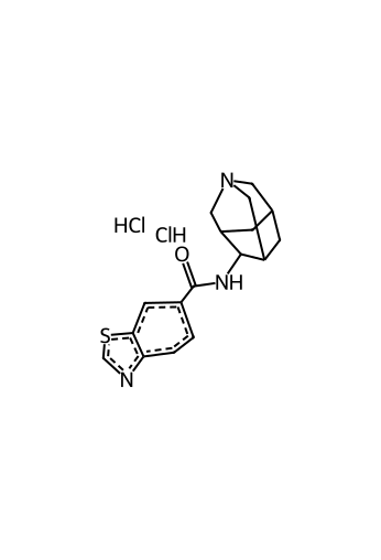 Cl.Cl.O=C(NC1C2CC3CC1CN(C3)C2)c1ccc2ncsc2c1